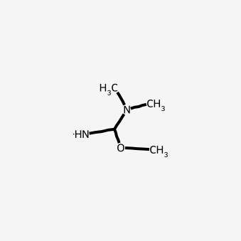 COC([NH])N(C)C